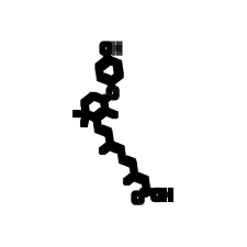 CC1=C(/C=C/C(C)=C/C=C/C(C)=C/C(=O)O)C(C)(C)CCC1Oc1ccc(O)cc1